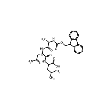 CC(C)CC(NC(=O)[C@H](CC(N)=O)NC(=O)C(C)NC(=O)OCC1c2ccccc2-c2ccccc21)C(=O)O